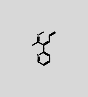 C=C/C=C(\C(C)=N/C)c1ccccn1